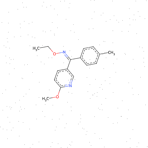 CCO/N=C(/c1ccc(C)cc1)c1ccc(OC)nc1